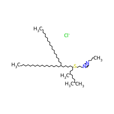 CCCCCCCCCCCCCCCCCCC(CCCCCCCCCCCCCCCCCC)CCCCC(CCC(C)CCCC(C)C)SCCC[n+]1ccn(CCCC)c1.[Cl-]